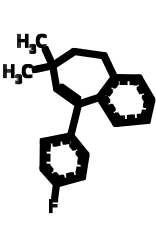 CC1(C)C=C(c2ccc(F)cc2)c2ccccc2CC1